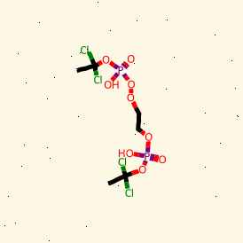 CC(Cl)(Cl)OP(=O)(O)OCCOOP(=O)(O)OC(C)(Cl)Cl